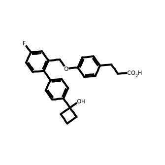 O=C(O)CCc1ccc(OCc2cc(F)ccc2-c2ccc(C3(O)CCC3)cc2)cc1